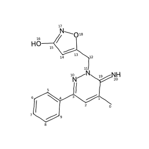 Cc1cc(-c2ccccc2)nn(Cc2cc(O)no2)c1=N